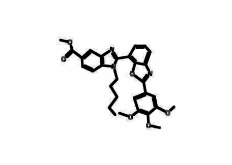 CCCCCn1c(-c2cccc3nc(-c4cc(OC)c(OC)c(OC)c4)oc23)nc2cc(C(=O)OC)ccc21